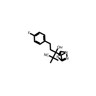 CC(C)(C#N)C(O)(CCc1ccc(F)cc1)C1c2ncn1n2